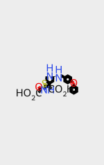 O=C(O)C(=O)Nc1sc2c(c1C(=O)O)C[C@@H](CNCc1ccc(Oc3ccccc3)cc1)NC2